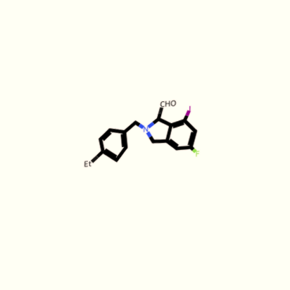 CCc1ccc(CN2Cc3cc(F)cc(I)c3C2C=O)cc1